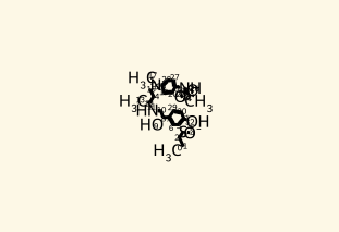 CCC[S+]([O-])c1cc(C(O)CNC(C)CCN(C)c2ccc(NS(C)(=O)=O)cc2)ccc1O